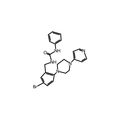 O=C(NCc1cc(Br)ccc1N1CCN(c2ccncc2)CC1)Nc1ccccc1